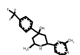 Cc1nccc(C2CC(O)(c3ccc(C(F)(F)F)cc3)CC(C)N2)n1